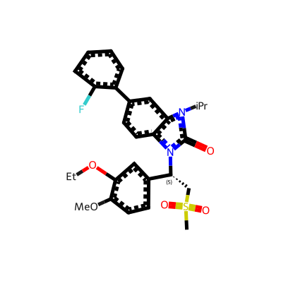 CCOc1cc([C@@H](CS(C)(=O)=O)n2c(=O)n(C(C)C)c3cc(-c4ccccc4F)ccc32)ccc1OC